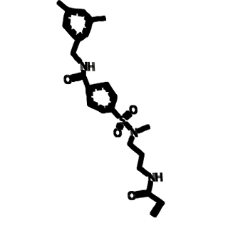 C=CC(=O)NCCCN(C)S(=O)(=O)c1ccc(C(=O)NCc2cc(C)cc(C)c2)cc1